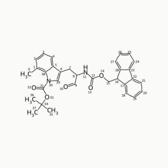 Cc1cccc2c(CC(C=O)NC(=O)OCC3c4ccccc4-c4ccccc43)cn(C(=O)OC(C)(C)C)c12